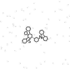 c1cc(-c2cc3c4ccccc4oc3c3c2sc2ccccc23)cc(-n2c3ccccc3c3ccccc32)c1